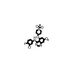 COc1cc(OC2CCN(S(C)(=O)=O)CC2)c2c(Nc3ccc(F)c(Cl)c3)ncnc2c1